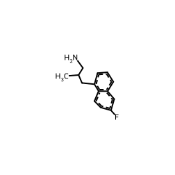 CC(CN)Cc1cccc2cc(F)ccc12